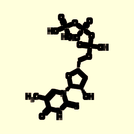 Cc1cn([C@@H]2O[C@H](COP(=O)(O)OP(=O)(O)OP(=O)(O)O)C[C@@H]2O)c(=S)[nH]c1=O